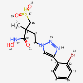 CC(CCn1cc(-c2ccccc2Br)nn1)(C[SH](=O)=O)C(=O)NO